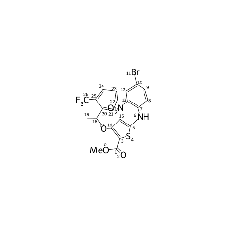 COC(=O)c1sc(Nc2ccc(Br)cc2[N+](=O)[O-])cc1OC(C)c1ccccc1C(F)(F)F